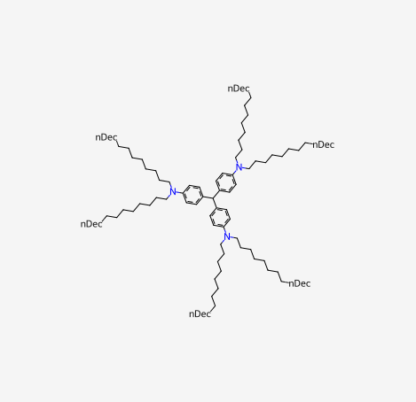 CCCCCCCCCCCCCCCCCCN(CCCCCCCCCCCCCCCCCC)c1ccc(C(c2ccc(N(CCCCCCCCCCCCCCCCCC)CCCCCCCCCCCCCCCCCC)cc2)c2ccc(N(CCCCCCCCCCCCCCCCCC)CCCCCCCCCCCCCCCCCC)cc2)cc1